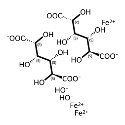 O=C([O-])[C@@H](O)[C@@H](O)[C@H](O)[C@@H](O)C(=O)[O-].O=C([O-])[C@@H](O)[C@@H](O)[C@H](O)[C@@H](O)C(=O)[O-].[Fe+2].[Fe+2].[Fe+2].[OH-].[OH-]